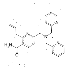 C=CCc1nc(CN(Cc2ccccn2)Cc2ccccn2)ccc1C(N)=O